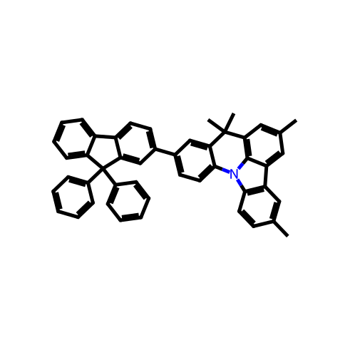 Cc1ccc2c(c1)c1cc(C)cc3c1n2-c1ccc(-c2ccc4c(c2)C(c2ccccc2)(c2ccccc2)c2ccccc2-4)cc1C3(C)C